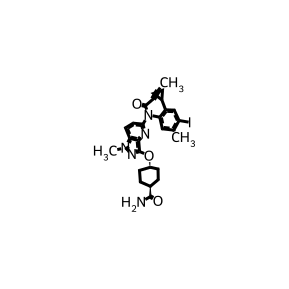 CC#CC(=O)N(c1ccc2c(n1)c(O[C@H]1CC[C@H](C(N)=O)CC1)nn2C)c1cc(C)c(I)cc1C1CC1